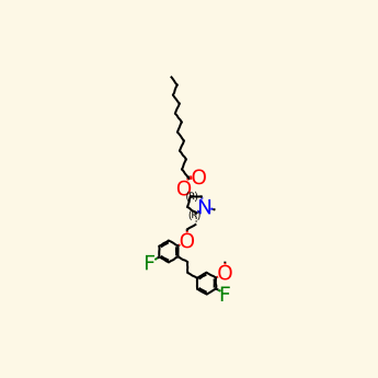 CCCCCCCCCCCC(=O)O[C@@H]1C[C@@H](CCOc2ccc(F)cc2CCc2ccc(F)c(OC)c2)N(C)C1